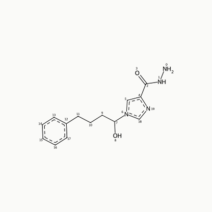 NNC(=O)c1cn(C(O)CCCc2ccccc2)cn1